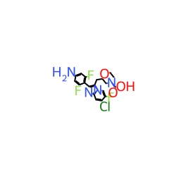 Nc1cc(F)c(-c2nc3cc(Cl)c(F)cn3c2CC2CN(C(=O)O)CCO2)c(F)c1